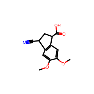 COc1cc2c(cc1OC)C(C(=O)O)CC2C#N